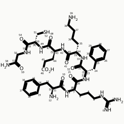 N=C(N)NCCC[C@@H](NC(=O)[C@@H](N)Cc1ccccc1)C(=O)N[C@@H](Cc1ccccc1)C(=O)N[C@@H](CCCCN)C(=O)N[C@@H](CCC(=O)O)C(=O)N[C@@H](CS)C(=O)NCC(N)=O